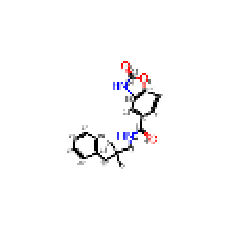 CC(C)(CNC(=O)c1ccc2oc(=O)[nH]c2c1)Cc1ccccc1